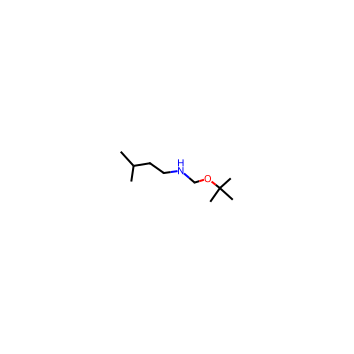 CC(C)CCNCOC(C)(C)C